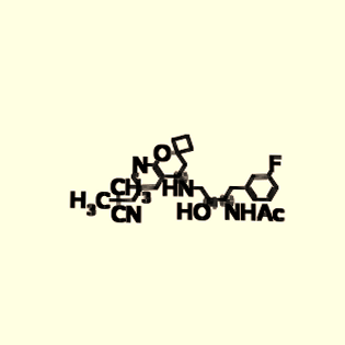 CC(=O)N[C@@H](Cc1cccc(F)c1)[C@H](O)CN[C@H]1CC2(CCC2)Oc2ncc(CC(C)(C)C#N)cc21